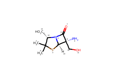 CC1(C)S[C@H]2N(C(=O)[C@@]2(N)CO)[C@H]1C(=O)O